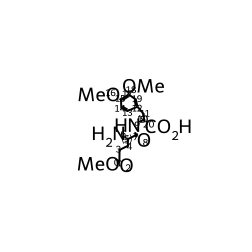 COC(=O)CC[C@H](N)C(=O)N[C@@H](Cc1ccc(OC)c(OC)c1)C(=O)O